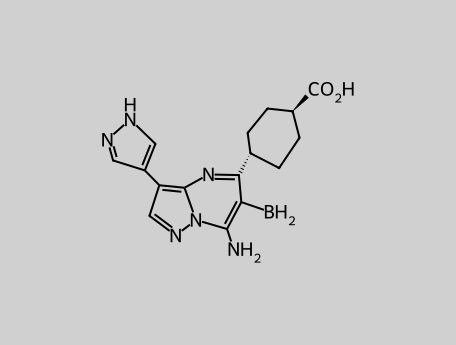 Bc1c(N)n2ncc(-c3cn[nH]c3)c2nc1[C@H]1CC[C@H](C(=O)O)CC1